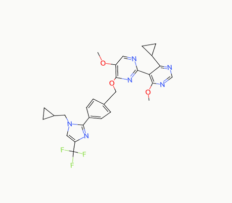 COc1cnc(-c2c(OC)ncnc2C2CC2)nc1OCc1ccc(-c2nc(C(F)(F)F)cn2CC2CC2)cc1